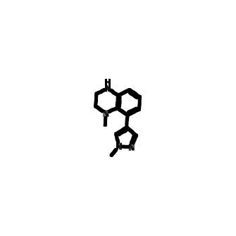 CN1CCNc2cccc(-c3cnn(C)c3)c21